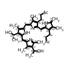 C=c1[nH]/c(=C\C2=NC(=C\c3[nH]c(/C=C4\N=C(C)C(C(C)O)=C4C)c([C@H](C)O)c3C)/C(C)=C2CCC(C)=O)c(CCC(C)=O)c1C